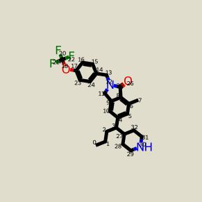 CCCC(c1cc(C)c2c(c1)CN(Cc1ccc(OC(F)(F)F)cc1)C2=O)C1CCNCC1